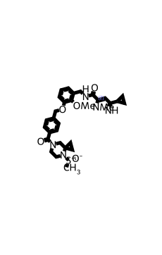 CN/C(=C\C(=N)C1CC1)C(=O)NCc1cccc(OCc2ccc(C(=O)N3CCN([S+](C)[O-])C4(CC4)C3)cc2)c1OC